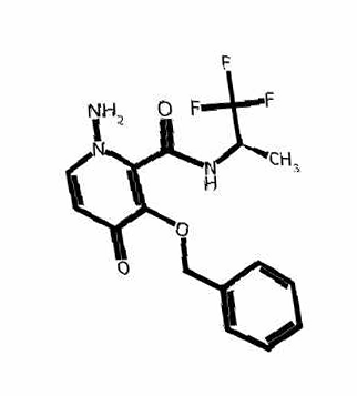 C[C@@H](NC(=O)c1c(OCc2ccccc2)c(=O)ccn1N)C(F)(F)F